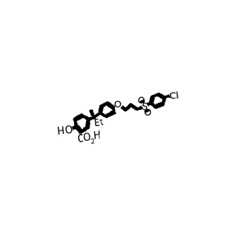 CCC(C)(c1ccc(OCCCS(=O)(=O)c2ccc(Cl)cc2)cc1)c1ccc(O)c(C(=O)O)c1